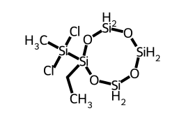 CC[Si]1([Si](C)(Cl)Cl)O[SiH2]O[SiH2]O[SiH2]O1